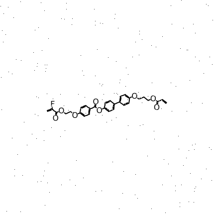 C=CC(=O)OCCCOc1ccc(-c2ccc(OC(=O)c3ccc(OCCOC(=O)C(=C)F)cc3)cc2)cc1